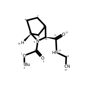 CC(C)(C)OC(=O)N1[C@@H]2CCC(C2)[C@H]1C(=O)NCC#N